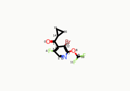 O=C(c1c(F)cnc(OC(F)F)c1Br)C1CC1